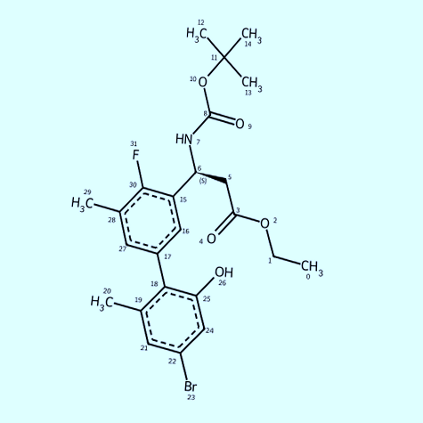 CCOC(=O)C[C@H](NC(=O)OC(C)(C)C)c1cc(-c2c(C)cc(Br)cc2O)cc(C)c1F